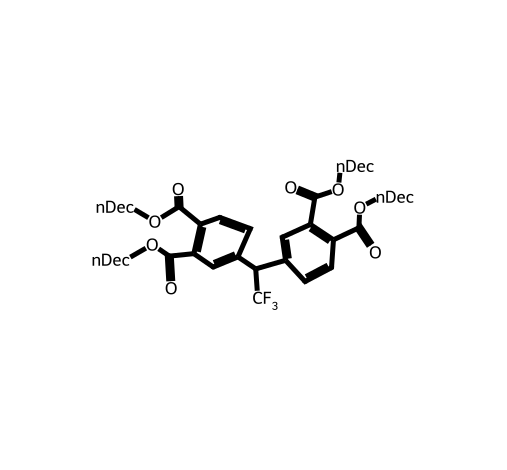 CCCCCCCCCCOC(=O)c1ccc(C(c2ccc(C(=O)OCCCCCCCCCC)c(C(=O)OCCCCCCCCCC)c2)C(F)(F)F)cc1C(=O)OCCCCCCCCCC